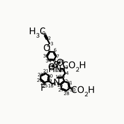 CC#CCOc1ccc(S(=O)(=O)N[C@@H](Cc2cn(Cc3ccccc3F)c3ccc(C(=O)O)cc23)C(=O)O)cc1